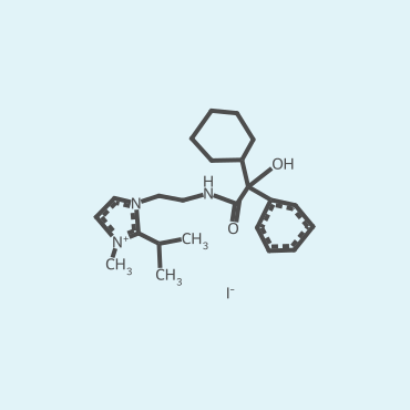 CC(C)c1n(CCNC(=O)C(O)(c2ccccc2)C2CCCCC2)cc[n+]1C.[I-]